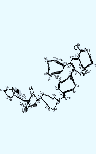 Clc1nccc2nc(-c3ccc(CN4CCC(c5nnc(-c6ncccn6)[nH]5)CC4)cc3)c(-c3ccccc3)cc12